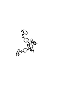 O=[N+]([O-])c1ccc(Nc2ccc(-n3cncn3)cc2)nc1N1CCC(Sc2ccccn2)CC1